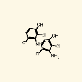 Nc1c(Cl)ccc(O)c1Cl.Nc1c(Cl)ccc(O)c1Cl